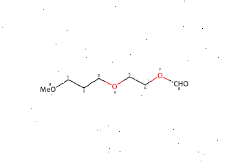 COCCCOCCOC=O